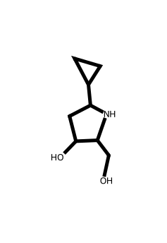 OCC1NC(C2CC2)CC1O